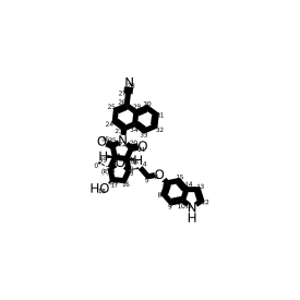 C[C@]12O[C@](CCOc3ccc4[nH]ccc4c3)(C[C@@H]1O)[C@H]1C(=O)N(c3ccc(C#N)c4ccccc34)C(=O)[C@H]12